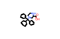 O=C(O)C1CN(C(c2ccccc2)(c2ccccc2)c2ccccc2)CCN1